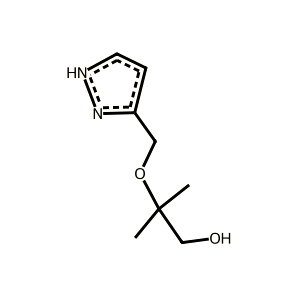 CC(C)(CO)OCc1cc[nH]n1